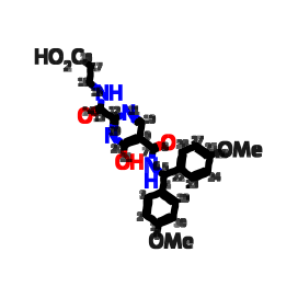 COc1ccc(C(NC(=O)c2cnc(C(=O)NCCC(=O)O)nc2O)c2ccc(OC)cc2)cc1